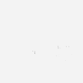 CC1(C)OB(c2cccc(C(c3ccccc3)c3ccccn3)c2)OC1(C)C